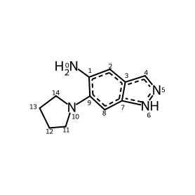 Nc1cc2cn[nH]c2cc1N1CCCC1